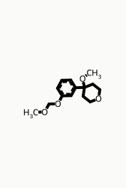 COCOc1cccc(C2(OC)CCOCC2)c1